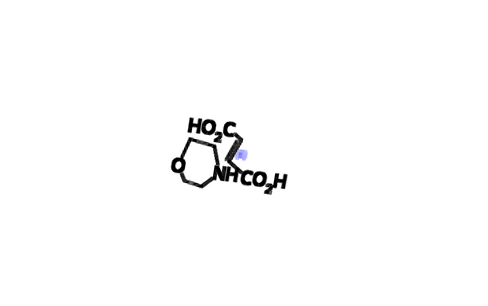 C1COCCN1.O=C(O)/C=C/C(=O)O